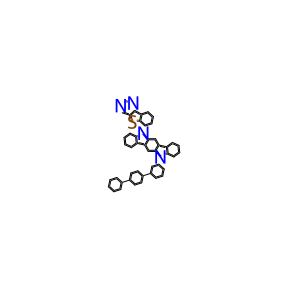 c1ccc(-c2ccc(-c3cccc(-n4c5ccccc5c5cc6c(cc54)c4ccccc4n6-c4cccc5c4sc4cncnc45)c3)cc2)cc1